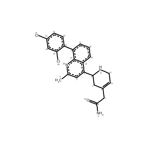 Cc1cc(C2CC(CC(N)=O)=CCN2)c2cccc(-c3ccc(Cl)cc3Cl)c2n1